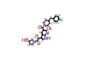 COc1nc2[nH]cc(C(=O)C(=O)N3CCC(O)C3)c2cc1C(=O)N1CCC(Cc2ccc(F)cc2)CC1